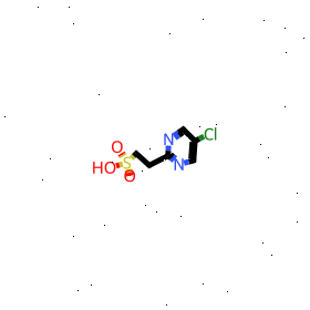 O=S(=O)(O)CCc1ncc(Cl)cn1